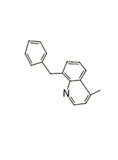 Cc1ccnc2c(Cc3ccccc3)cccc12